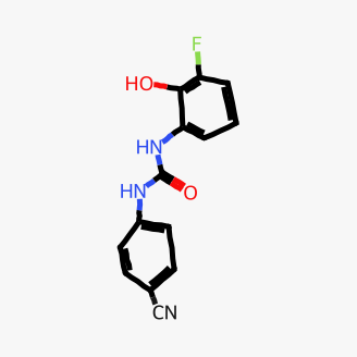 N#Cc1ccc(NC(=O)Nc2cccc(F)c2O)cc1